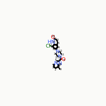 Cc1cccn2cc(C(=O)N3CCN(c4cc(Cl)c5c(c4)CCC(=O)N5)CC3)nc12